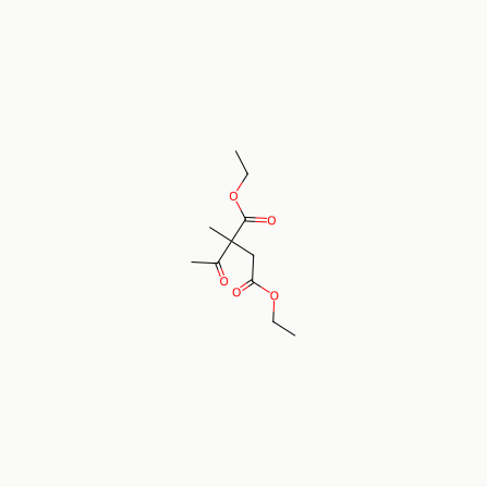 CCOC(=O)CC(C)(C(C)=O)C(=O)OCC